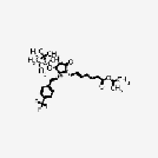 CC(C)OC(=O)CCCC=CC[C@H]1C(=O)C[C@@H](O[Si](C)(C)C(C)(C)C)[C@@H]1C=Cc1ccc(C(F)(F)F)cc1